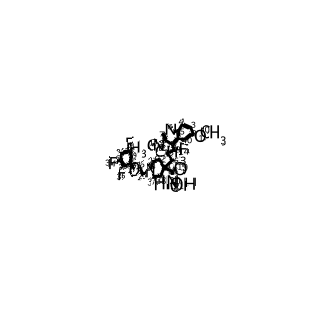 COc1ccc2ncc(N(C)C)c([C@H](F)CCC3(C(=O)NO)CCN(CCOc4cc(F)cc(F)c4F)CC3)c2c1